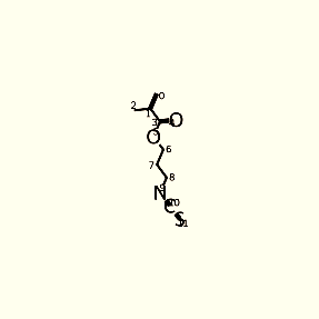 C=C(C)C(=O)OCCCN=C=S